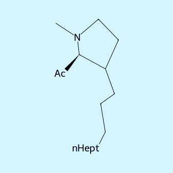 CCCCCCCCCCC1CCN(C)[C@@H]1C(C)=O